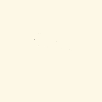 CCOC(=O)c1cccc2c1OB(N=O)C(C)C2